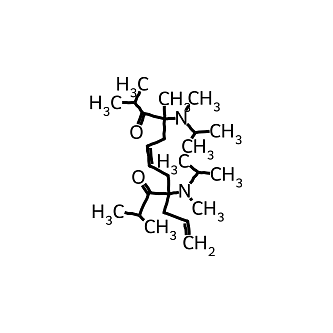 C=CCC(C/C=C\CC(C)(C(=O)C(C)C)N(C)C(C)C)(C(=O)C(C)C)N(C)C(C)C